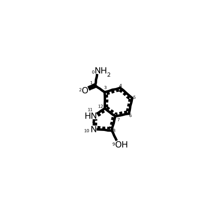 NC(=O)c1cccc2c(O)n[nH]c12